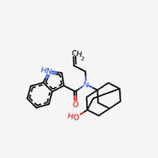 C=CCN(C(=O)c1c[nH]c2ccccc12)C12CC3CC(CC(O)(C3)C1)C2